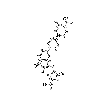 CC(=O)N1CCN(c2ncc(-c3ccc4c(=O)n(C)n(Cc5cn(C(C)=O)cc5C)c4c3)cn2)C[C@H]1C